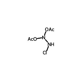 CC(=O)ON(NCl)OC(C)=O